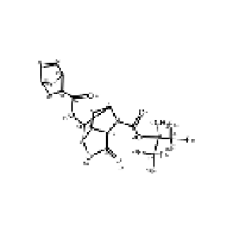 CC(OC(=O)C1C2CC3C(OC(=O)C31)C2OC(=O)C1CC2C=CC1O2)(C(F)(F)F)C(F)(F)F